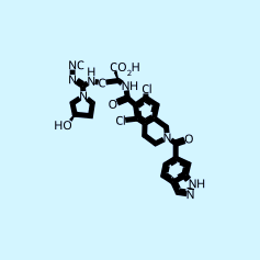 [C-]#[N+]/N=C(\NC[C@H](NC(=O)c1c(Cl)cc2c(c1Cl)CCN(C(=O)c1ccc3cn[nH]c3c1)C2)C(=O)O)N1CC[C@@H](O)C1